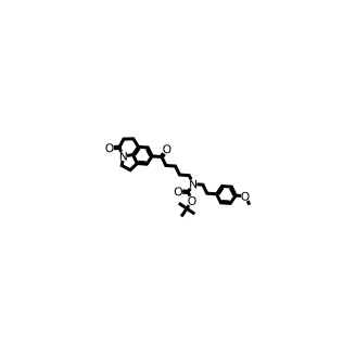 COc1ccc(CCN(CCCCC(=O)c2cc3c4c(c2)CCN4C(=O)CC3)C(=O)OC(C)(C)C)cc1